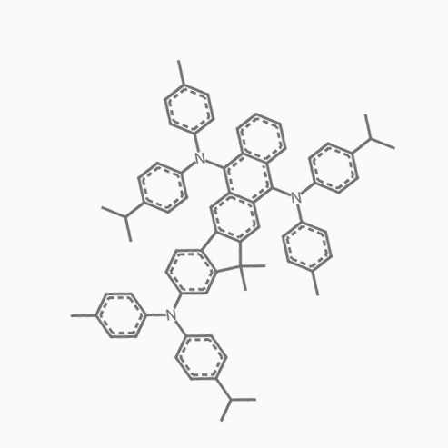 Cc1ccc(N(c2ccc(C(C)C)cc2)c2ccc3c(c2)C(C)(C)c2cc4c(N(c5ccc(C)cc5)c5ccc(C(C)C)cc5)c5ccccc5c(N(c5ccc(C)cc5)c5ccc(C(C)C)cc5)c4cc2-3)cc1